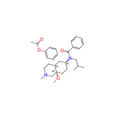 CO[C@]12CC[C@H](N(CC(C)C)C(=O)c3ccccc3)C[C@]1(c1cccc(OC(C)=O)c1)CCN(C)C2